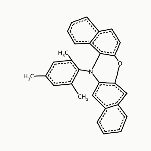 Cc1cc(C)c(N2c3cc4ccccc4cc3Oc3ccc4ccccc4c32)c(C)c1